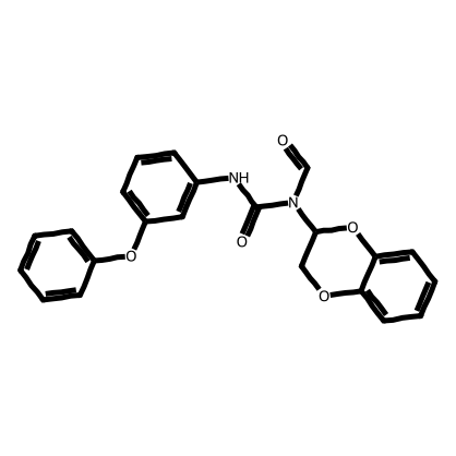 O=CN(C(=O)Nc1cccc(Oc2ccccc2)c1)C1COc2ccccc2O1